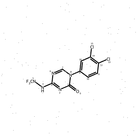 O=c1nc(NNC(F)(F)F)ncn1-c1ccc(Cl)c(Cl)c1